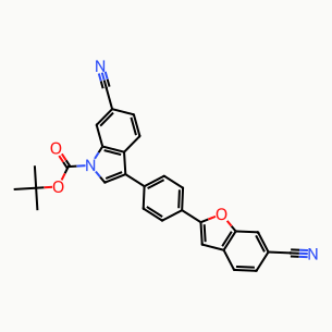 CC(C)(C)OC(=O)n1cc(-c2ccc(-c3cc4ccc(C#N)cc4o3)cc2)c2ccc(C#N)cc21